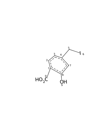 O=C(O)c1ccc(CI)cc1O